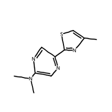 Cc1csc(-c2cnc(N(C)C)cn2)n1